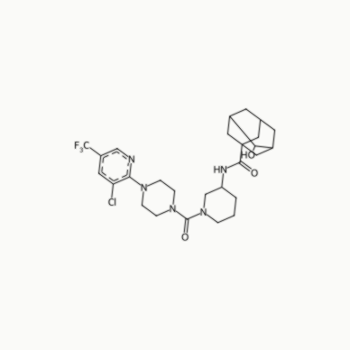 O=C(N1CCN(c2ncc(C(F)(F)F)cc2Cl)CC1)N1CCCC(NC(=O)C23CC4CC(C2)C(O)C(C4)C3)C1